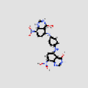 O=[N+]([O-])c1ccc(Nc2ccc(Nc3ccc([N+](=O)[O-])c4ncnc(O)c34)cc2)c2c(O)ncnc12